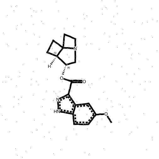 COc1ccc2[nH]nc(C(=O)O[C@H]3CN4CCC45CC[C@H]35)c2c1